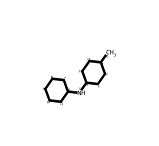 CC1CCC(NC2CCCCC2)CC1